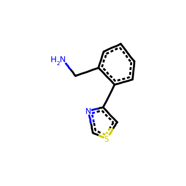 NCc1ccccc1-c1cscn1